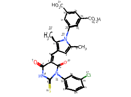 Cc1cc(C=C2C(=O)NC(=S)N(c3cccc(Cl)c3)C2=O)c(C)n1-c1cc(C(=O)O)cc(C(=O)O)c1